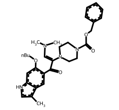 CCCCOc1cc2[nH]cc(C)c2cc1C(=O)/C(=C/N(C)C)N1CCN(C(=O)OCc2ccccc2)CC1